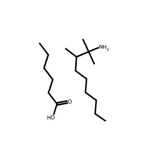 CCCCCC(=O)O.CCCCCCC(C)C(C)(C)N